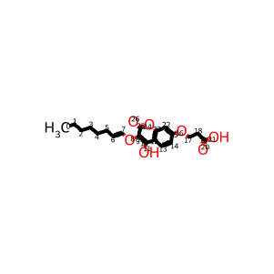 CCCCCCC=COc1c(O)c2ccc(OCCC(=O)O)cc2oc1=O